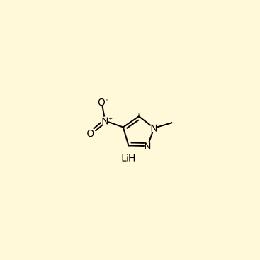 Cn1[c]c([N+](=O)[O-])cn1.[LiH]